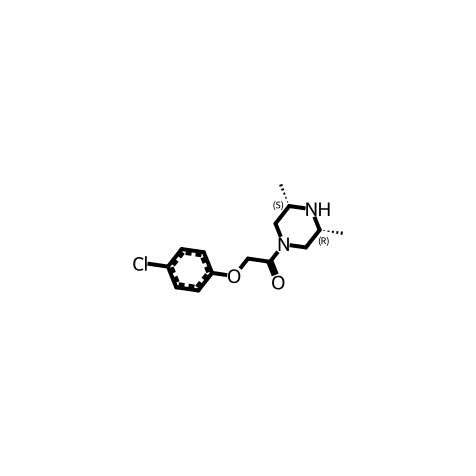 C[C@@H]1CN(C(=O)COc2ccc(Cl)cc2)C[C@H](C)N1